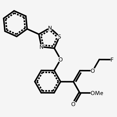 COC(=O)/C(=C\OCF)c1ccccc1Oc1nc(-c2ccccc2)ns1